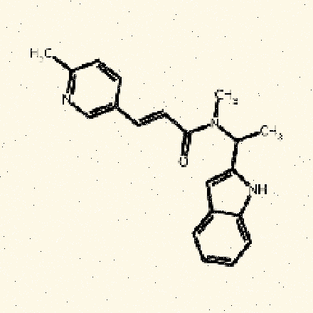 Cc1ccc(C=CC(=O)N(C)C(C)c2cc3ccccc3[nH]2)cn1